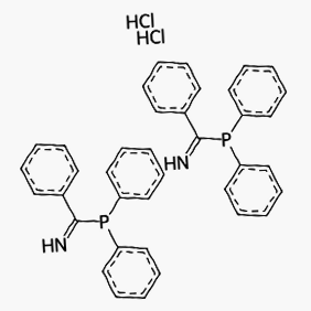 Cl.Cl.N=C(c1ccccc1)P(c1ccccc1)c1ccccc1.N=C(c1ccccc1)P(c1ccccc1)c1ccccc1